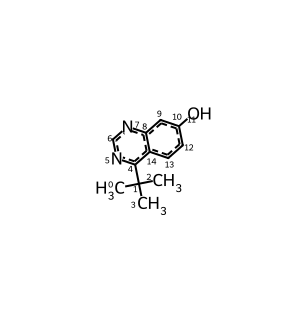 CC(C)(C)c1ncnc2cc(O)ccc12